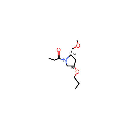 CCCO[C@@H]1C[C@@H](COC)N(C(=O)CC)C1